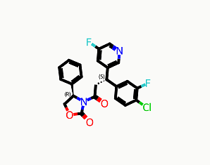 O=C(C[C@H](c1cncc(F)c1)c1ccc(Cl)c(F)c1)N1C(=O)OC[C@H]1c1ccccc1